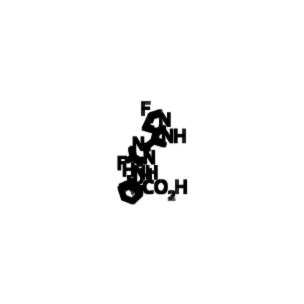 O=C(O)[C@H]1C2CCC(CC2)C[C@@H]1Nc1nc(-c2c[nH]c3ncc(F)cc23)ncc1F